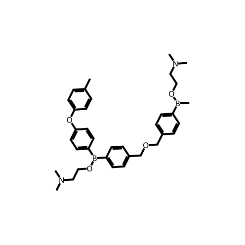 CB(OCCN(C)C)c1ccc(COCc2ccc(B(OCCN(C)C)c3ccc(Oc4ccc(C)cc4)cc3)cc2)cc1